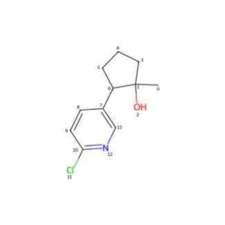 CC1(O)CCC[C]1c1ccc(Cl)nc1